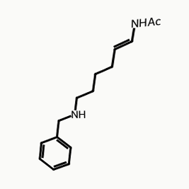 CC(=O)N/C=C/CCCCNCc1ccccc1